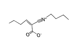 CCCC=C(C#[N+]CCCC)C(=O)[O-]